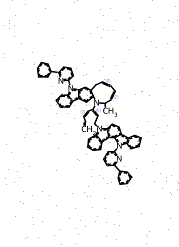 C=C/C=C\C(=C/Cn1c2ccccc2c2c1ccc1c3ccccc3n(-c3cccc(-c4ccccc4)n3)c12)N1c2cc3c4ccccc4n(-c4cccc(-c5ccccc5)n4)c3cc2C/C=C\C=C/C1C